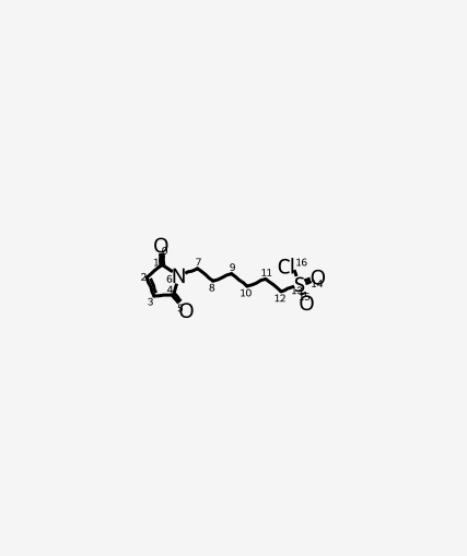 O=C1C=CC(=O)N1CCCCCCS(=O)(=O)Cl